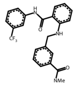 CNC(=O)c1cccc(CNc2ccccc2C(=O)Nc2cccc(C(F)(F)F)c2)c1